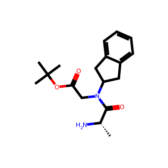 C[C@H](N)C(=O)N(CC(=O)OC(C)(C)C)C1Cc2ccccc2C1